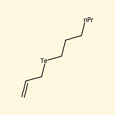 C=CC[Te]CCCCCC